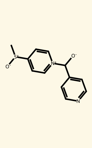 C[S+]([O-])c1cc[n+](C([O-])c2ccncc2)cc1